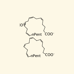 CCCCC/C=C\C/C=C\C/C=C\C/C=C\CCCC(=O)[O-].CCCCC/C=C\C/C=C\C/C=C\C/C=C\CCCC(=O)[O-].[O+2]